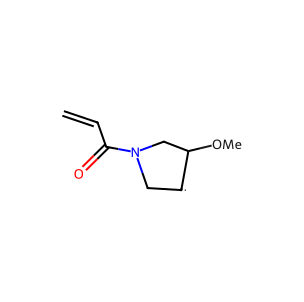 C=CC(=O)N1C[CH]C(OC)C1